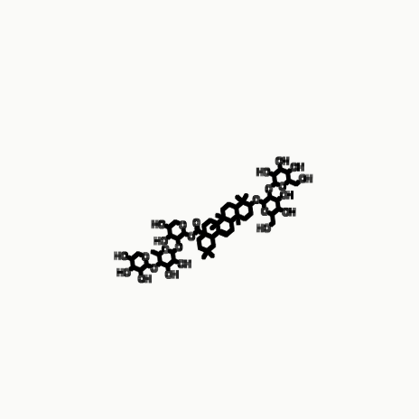 CC1OC(OC2C(OC(=O)C34CCC(C)(C)CC3C3=CCC5C6(C)CCC(OC7OC(CO)C(O)C(O)C7OC7OC(CO)C(O)C(O)C7O)C(C)(C)C6CCC5(C)C3(C)CC4)OCC(O)C2O)C(O)C(O)C1OC1OCC(O)C(O)C1O